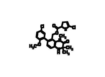 COc1ccc(Cl)cc1-c1ccc2c(c1COC(=O)C1CC=C(Cl)S1)N(C)C(=O)C(C)(C)N2